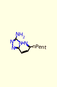 CCCCCc1ccc2nnc(N)n2n1